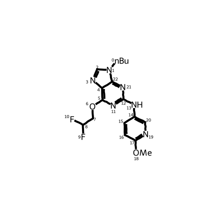 CCCCn1cnc2c(OCC(F)F)nc(Nc3ccc(OC)nc3)nc21